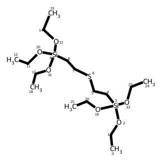 CCO[Si](CCSCC[Si](OCC)(OCC)OCC)(OCC)OCC